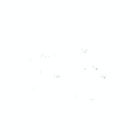 O=C(c1ccc(NS(=O)(=O)c2cccc3cccnc23)cc1)N1CCCN(C(O)c2ccc(Cl)cc2)CC1